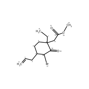 C=CCC1CCC(CC)(CC(=O)OC)C(=O)C1Br